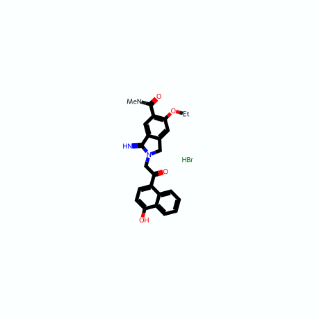 Br.CCOc1cc2c(cc1C(=O)NC)C(=N)N(CC(=O)c1ccc(O)c3ccccc13)C2